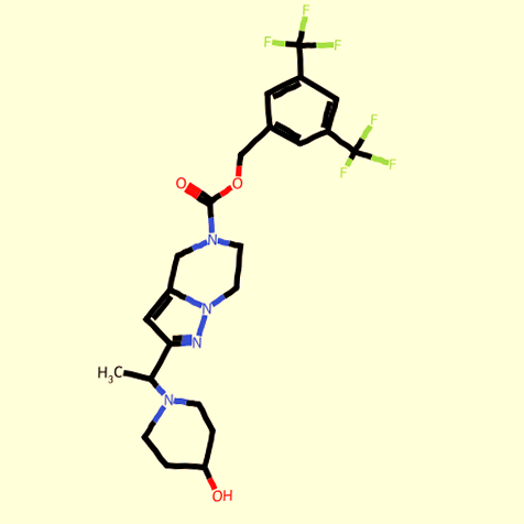 CC(c1cc2n(n1)CCN(C(=O)OCc1cc(C(F)(F)F)cc(C(F)(F)F)c1)C2)N1CCC(O)CC1